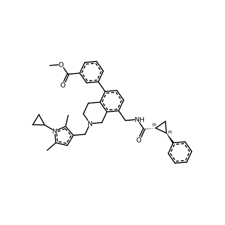 COC(=O)c1cccc(-c2ccc(CNC(=O)[C@@H]3C[C@H]3c3ccccc3)c3c2CCN(Cc2cc(C)n(C4CC4)c2C)C3)c1